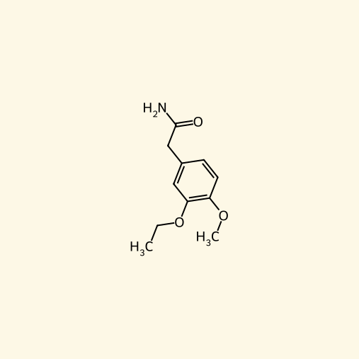 CCOc1cc(CC(N)=O)ccc1OC